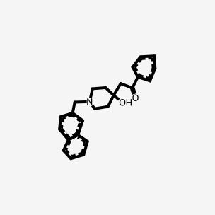 O=C(CC1(O)CCN(Cc2ccc3ccccc3c2)CC1)c1ccccc1